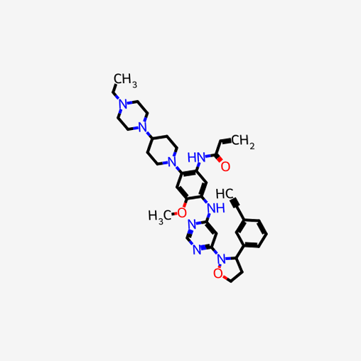 C#Cc1cccc(C2CCON2c2cc(Nc3cc(NC(=O)C=C)c(N4CCC(N5CCN(CC)CC5)CC4)cc3OC)ncn2)c1